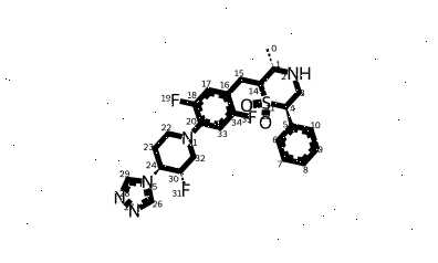 C[C@@H]1NC[C@@H](c2ccccc2)S(=O)(=O)C1Cc1cc(F)c(N2CC[C@@H](n3cnnc3)[C@@H](F)C2)cc1F